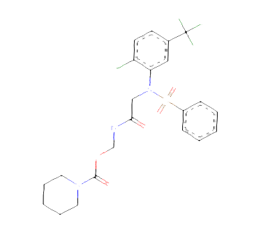 O=C(CN(c1cc(C(F)(F)F)ccc1Cl)S(=O)(=O)c1ccccc1)NCOC(=O)N1CCCCC1